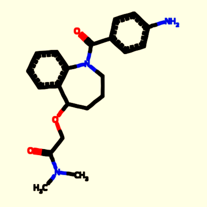 CN(C)C(=O)COC1CCCN(C(=O)c2ccc(N)cc2)c2ccccc21